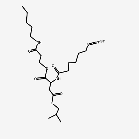 CCCCCNC(=O)CCSC(=O)C(CC(=O)OCC(C)C)NC(=O)CCCCCN=[N+]=[N-]